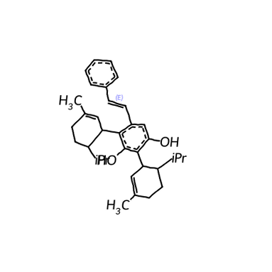 CC1=CC(c2c(O)cc(/C=C/c3ccccc3)c(C3C=C(C)CCC3C(C)C)c2O)C(C(C)C)CC1